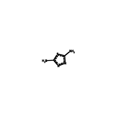 Bc1nnc(N)s1